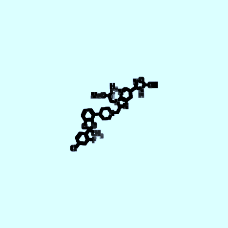 CO[C@@H](C)Cn1c(CN2CCC(c3cccc4c3OC(C)(c3ccc(Cl)cc3F)O4)CC2)nc2cc(C3=NOC(O)N3)cnc21